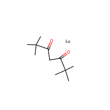 CC(C)(C)C(=O)CC(=O)C(C)(C)C.[Lu]